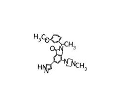 COc1cccc([C@@H](C)N2Cc3c(cc(-c4cn[nH]c4)cc3N3CCN(C)CC3)C2=O)c1